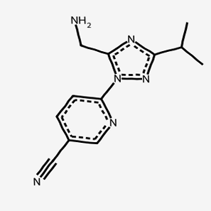 CC(C)c1nc(CN)n(-c2ccc(C#N)cn2)n1